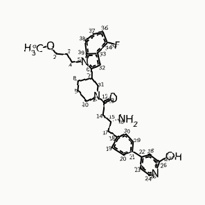 COCCCn1c(C2CCCN(C(=O)C[C@H](N)Cc3ccc(-c4ccnc(O)c4)cc3)C2)cc2c(F)cccc21